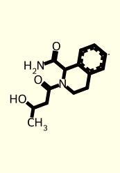 CC(O)CC(=O)N1CCc2c[c]ccc2C1C(N)=O